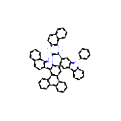 c1ccc(-n2c3ccccc3c3ccc(-c4nc5c(ccc6ccccc65)nc4-n4c5ccc6c7ccccc7c7ccccc7c6c5c5ccc6ccccc6c54)cc32)cc1